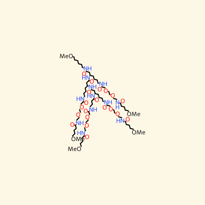 COCCCCCCNC(=O)CC(CCCCNC(=O)COCCOCCNC(=O)CCCCOC)NC(=O)CC(CCCCNC(=O)COCCOCCNC(=O)CCCCOC)NC(=O)CC(CCCCNC(=O)COCCOCCNC(=O)CCCCOC)NC(=O)CCCNC(=O)COCCOCCNC(=O)CCCCOC